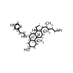 CC(C)CCC[C@@H](C)[C@H]1CC[C@H]2[C@@H]3C[C@@H](NCCc4c[nH]cn4)C4C[C@@H](O)CC[C@]4(C)[C@H]3CC[C@]12C